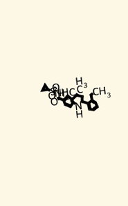 CCc1ccccc1C1CC(C)(C)c2cc(C(=O)NS(=O)(=O)C3CC3)ccc2N1